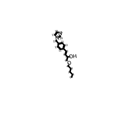 CCCCCOCC(O)C=Cc1ccc(Cn2ccnc2)cc1